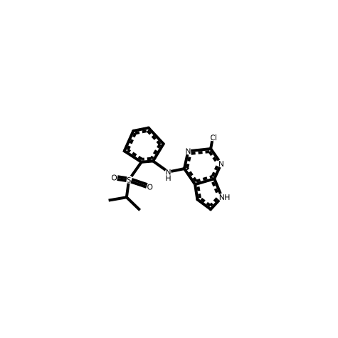 CC(C)S(=O)(=O)c1ccccc1Nc1nc(Cl)nc2[nH]ccc12